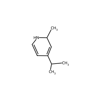 CC1C=C(C(C)C)C=CN1